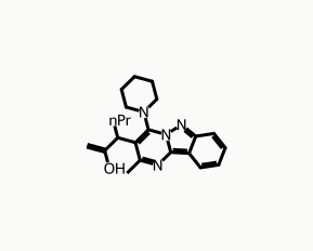 C=C(O)C(CCC)c1c(C)nc2c3ccccc3nn2c1N1CCCCC1